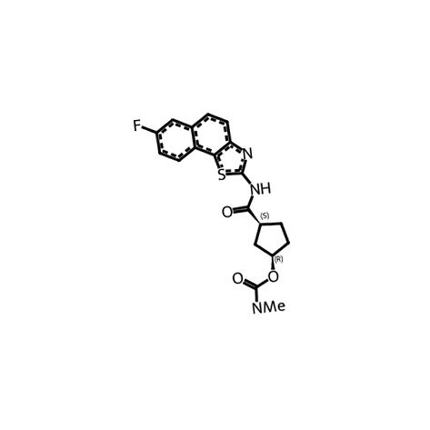 CNC(=O)O[C@@H]1CC[C@H](C(=O)Nc2nc3ccc4cc(F)ccc4c3s2)C1